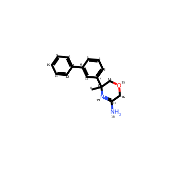 CC1(c2cccc(-c3ccccc3)c2)COCC(N)=N1